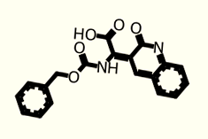 O=C(NC(C(=O)O)=C1C=c2ccccc2=NC1=O)OCc1ccccc1